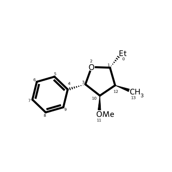 CC[C@H]1O[C@@H](c2ccccc2)[C@H](OC)[C@@H]1C